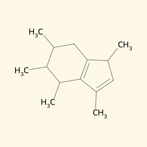 CC1=CC(C)C2=C1C(C)C(C)C(C)C2